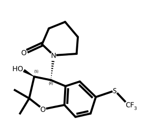 CC1(C)Oc2ccc(SC(F)(F)F)cc2[C@@H](N2CCCCC2=O)[C@@H]1O